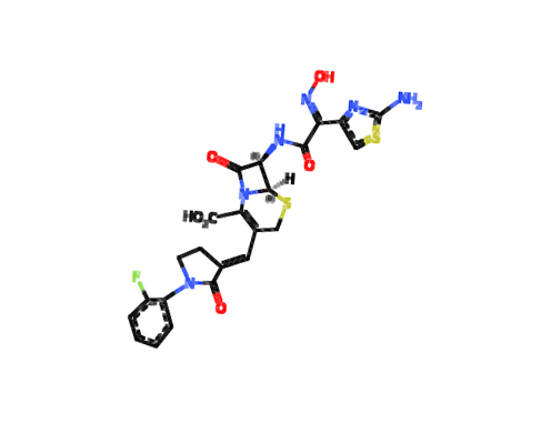 Nc1nc(C(=NO)C(=O)N[C@@H]2C(=O)N3C(C(=O)O)=C(C=C4CCN(c5ccccc5F)C4=O)CS[C@H]23)cs1